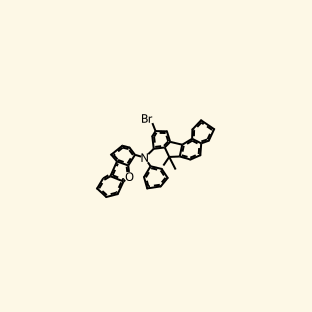 CC1(C)c2ccc3ccccc3c2-c2cc(Br)cc(N(c3ccccc3)c3cccc4c3oc3ccccc34)c21